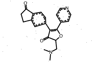 CN(C)CC1OC(c2ccncc2)=C(c2ccc3c(c2)CCC3=O)C1=O